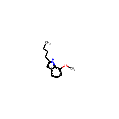 CCCCc1cc2cccc(OC)c2[nH]1